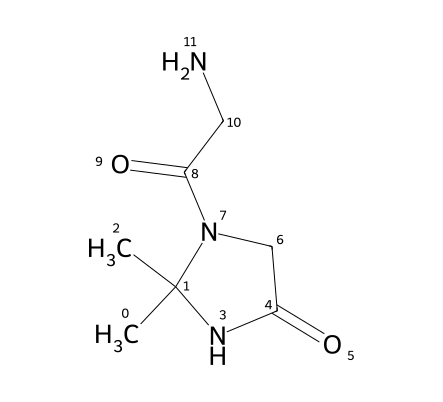 CC1(C)NC(=O)CN1C(=O)CN